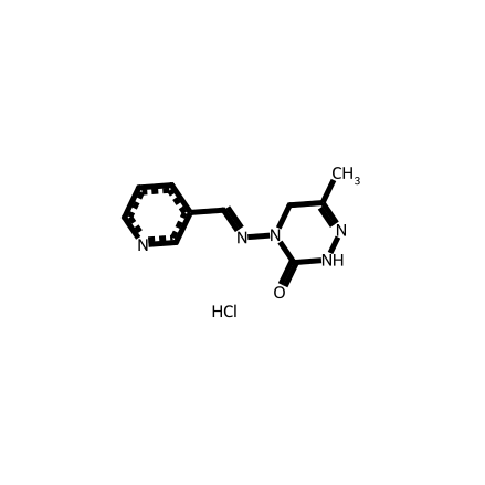 CC1=NNC(=O)N(N=Cc2cccnc2)C1.Cl